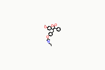 CCCN1CC(Oc2ccc(Cc3c(-c4ccccc4)c(=O)oc4cc(OC)ccc34)cc2)C1